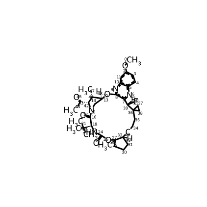 COc1ccc2nc3c(nc2c1)O[C@H]1CN(C(=O)[C@H](C(C)(C)C)NC(=O)O[C@]2(C)CCC[C@H]2CCCC2(CC2)C3(F)F)[C@H](C(C)=O)[C@@H]1C